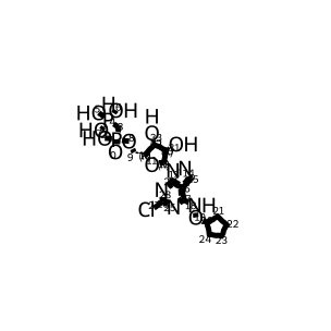 O=P(O)(C[PH](O)(O)O)OC[C@H]1O[C@@H](n2ncc3c(NOC4CCCC4)nc(Cl)nc32)[C@H](O)[C@@H]1O